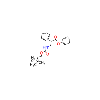 C[Si](C)(C)CCOC(=O)NCC(C(=O)Oc1ccccc1)c1ccccc1